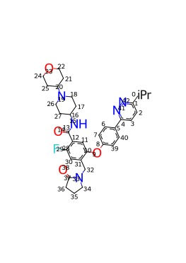 CC(C)c1ccc(-c2ccc(Oc3cc(C(=O)NC4CCN(C5CCOCC5)CC4)c(F)cc3CN3CCCC3=O)cc2)nn1